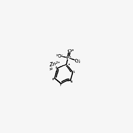 O=P([O-])([O-])c1ccccc1.[Zn+2]